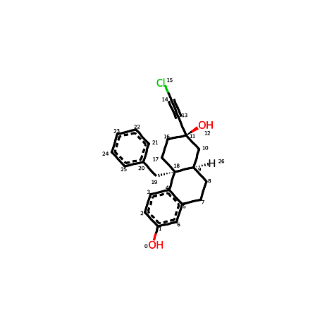 Oc1ccc2c(c1)CC[C@@H]1C[C@@](O)(C#CCl)CC[C@]21Cc1ccccc1